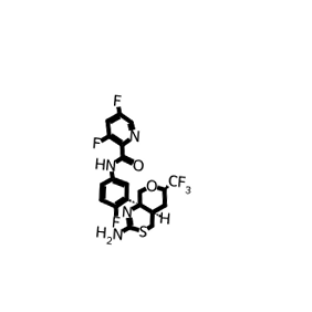 NC1=N[C@@]2(c3cc(NC(=O)c4ncc(F)cc4F)ccc3F)CO[C@@H](C(F)(F)F)C[C@H]2CS1